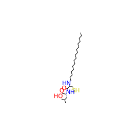 CCCCCCCCCCCCCCCCCCN[C@@H](CS)C(=O)N[C@H](CC(C)C)C(=O)O